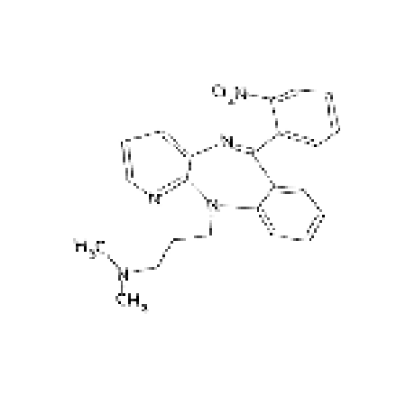 CN(C)CCCN1c2ccccc2C(c2ccccc2[N+](=O)[O-])=Nc2cccnc21